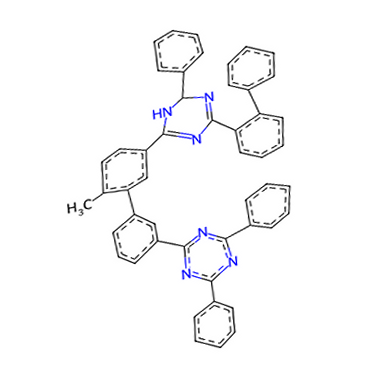 Cc1ccc(C2=NC(c3ccccc3-c3ccccc3)=NC(c3ccccc3)N2)cc1-c1cccc(-c2nc(-c3ccccc3)nc(-c3ccccc3)n2)c1